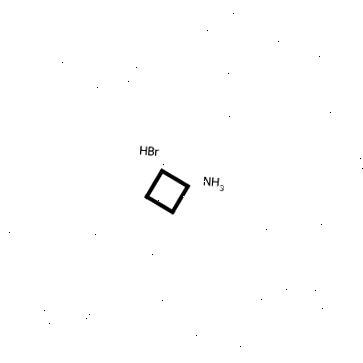 Br.C1CCC1.N